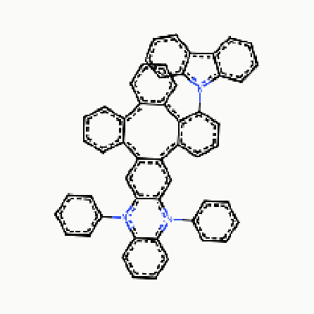 c1ccc(-n2c3ccccc3n(-c3ccccc3)c3cc4c(cc32)c2ccccc2c2ccccc2c2c(-n3c5ccccc5c5ccccc53)cccc42)cc1